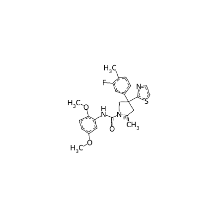 COc1ccc(OC)c(NC(=O)N2CC(c3ccc(C)c(F)c3)(c3nccs3)C[C@H]2C)c1